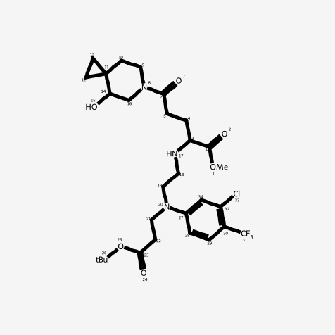 COC(=O)C(CCC(=O)N1CCC2(CC2)C(O)C1)NCCN(CCC(=O)OC(C)(C)C)c1ccc(C(F)(F)F)c(Cl)c1